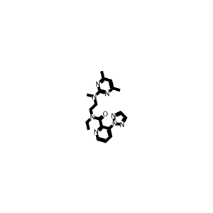 CCN(CCN(C)c1nc(C)cc(C)n1)C(=O)c1ncccc1-n1nccn1